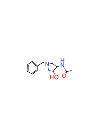 CC(=O)NC1CN(Cc2ccccc2)CC1O